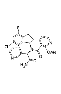 COc1ncccc1C(=O)N([C@@H]1CCc2c(F)cc(Cl)cc21)[C@@H](C(N)=O)c1cccnc1